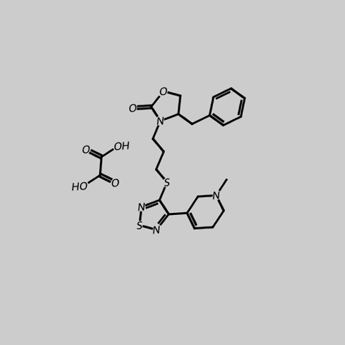 CN1CCC=C(c2nsnc2SCCCN2C(=O)OCC2Cc2ccccc2)C1.O=C(O)C(=O)O